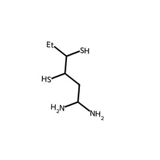 CCC(S)C(S)CC(N)N